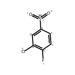 O=[SH](=O)c1ccc(F)c(Cl)c1